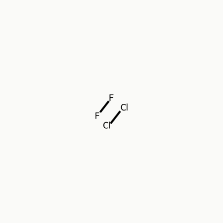 ClCl.FF